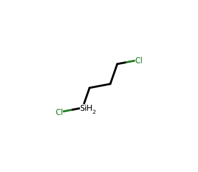 ClCCC[SiH2]Cl